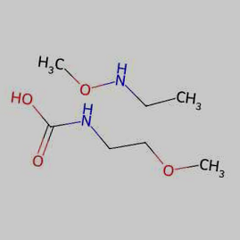 CCNOC.COCCNC(=O)O